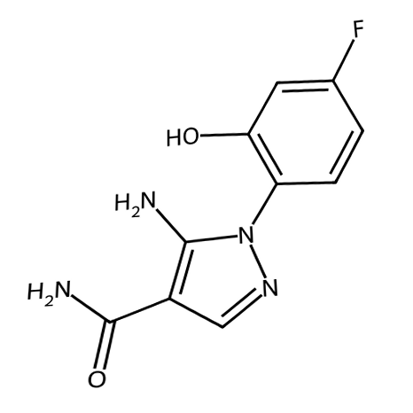 NC(=O)c1cnn(-c2ccc(F)cc2O)c1N